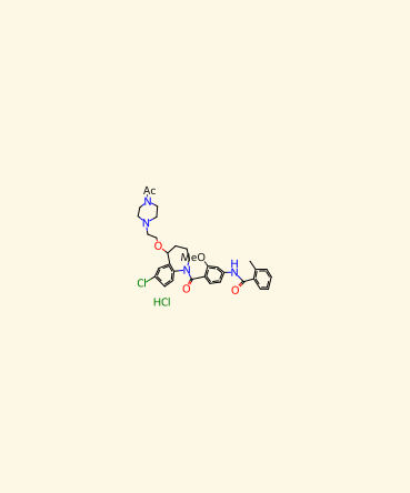 COc1cc(NC(=O)c2ccccc2C)ccc1C(=O)N1CCCC(OCCN2CCN(C(C)=O)CC2)c2cc(Cl)ccc21.Cl